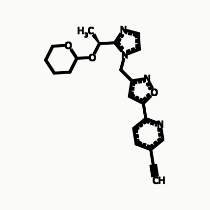 C#Cc1ccc(-c2cc(Cn3ccnc3[C@H](C)OC3CCCCO3)no2)nc1